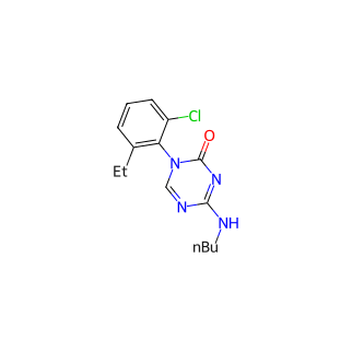 CCCCNc1ncn(-c2c(Cl)cccc2CC)c(=O)n1